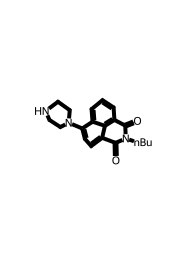 CCCCN1C(=O)c2cccc3c(N4CCNCC4)ccc(c23)C1=O